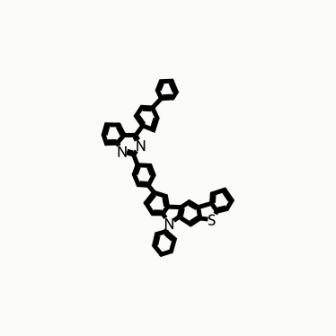 C1=CC(n2c3ccc(-c4ccc(-c5nc(-c6ccc(-c7ccccc7)cc6)c6ccccc6n5)cc4)cc3c3cc4c(cc32)sc2ccccc24)=CCC1